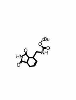 CC(C)(C)OC(=O)NCC1C=CCC2C(=O)NC(=O)C12